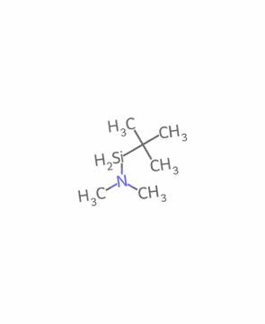 CN(C)[SiH2]C(C)(C)C